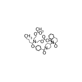 CCCCC(Oc1ccc(C(=O)N2CCC(N3C(=O)CCc4ccccc43)CC2)cc1)N(CCOC(C)=O)CCOC(C)=O